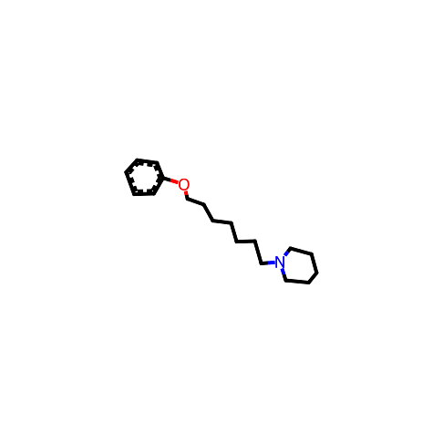 c1ccc(OCCCCCCCN2CCCCC2)cc1